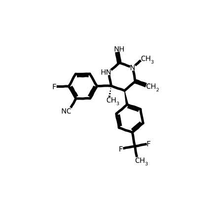 C=C1[C@@H](c2ccc(C(C)(F)F)cc2)[C@@](C)(c2ccc(F)c(C#N)c2)NC(=N)N1C